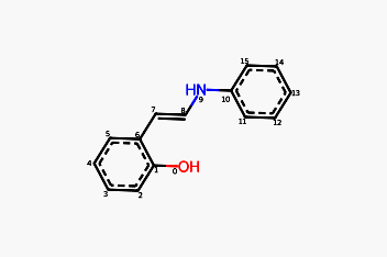 Oc1ccccc1C=CNc1ccccc1